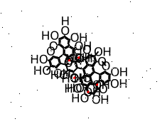 Bc1c(O)c2c3c(c(O)c(O)c(O)c3c1O)OOc1c(O)c(O)c(O)c(C(=O)/C(O)=C(O)\C(=C(/C)O)c3c4c(O)c(O)c(O)c(O)c4c4c5c(c(O)c(O)c(O)c35)OOc3c(O)c(O)c5oc6c(O)c(O)c(O)c(O)c6c5c3-4)c1-2